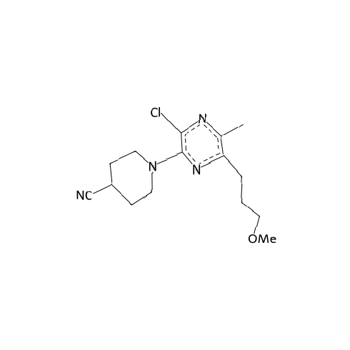 COCCCc1nc(N2CCC(C#N)CC2)c(Cl)nc1C